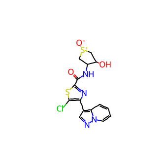 O=C(NC1C[S+]([O-])CC1O)c1nc(-c2cnn3ccccc23)c(Cl)s1